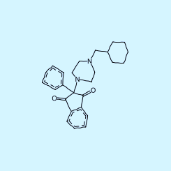 O=C1c2ccccc2C(=O)C1(c1ccccc1)N1CCN(CC2CCCCC2)CC1